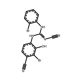 N#C/N=C(\Nc1ccccc1Br)Nc1ccc(C#N)c(Br)c1O